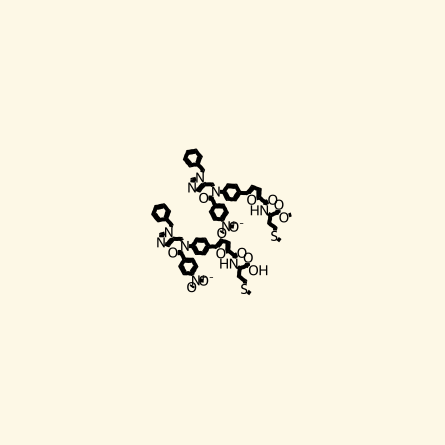 COC(=O)C(CCSC)NC(=O)c1ccc(-c2ccc(N(Cc3cncn3Cc3ccccc3)C(=O)c3ccc([N+](=O)[O-])cc3)cc2)o1.CSCCC(NC(=O)c1ccc(-c2ccc(N(Cc3cncn3Cc3ccccc3)C(=O)c3ccc([N+](=O)[O-])cc3)cc2)o1)C(=O)O